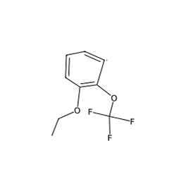 CCOc1ccc[c]c1OC(F)(F)F